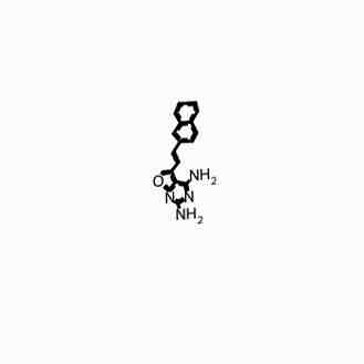 Nc1nc(N)c2c(/C=C/c3ccc4ccccc4c3)coc2n1